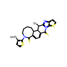 CCC1c2nc3ccsc3n2C(=S)C2=CC=C3C(=S)N(c4sccc4NC)CCCCC3C21